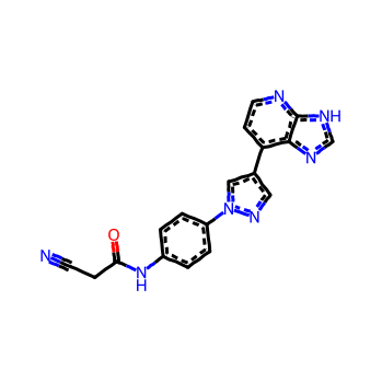 N#CCC(=O)Nc1ccc(-n2cc(-c3ccnc4[nH]cnc34)cn2)cc1